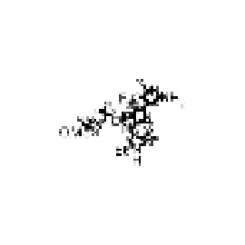 CC[C@@H]1CN2c3nc(OCC4(CN5CC(C)(OC)C5)CC4)nc4c(F)c(-c5cc(N)nc(C)c5C(F)(F)F)nc(c34)O[C@@H](C)[C@@H]2CN1